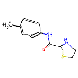 [CH2]c1ccc(NC(=O)C2NCCS2)cc1